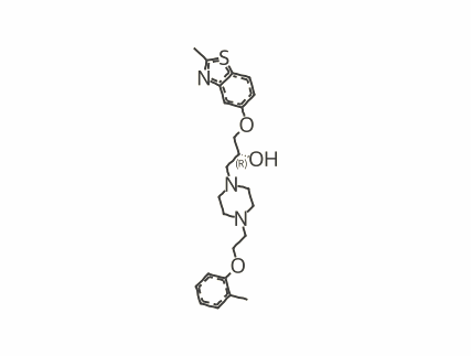 Cc1nc2cc(OC[C@H](O)CN3CCN(CCOc4ccccc4C)CC3)ccc2s1